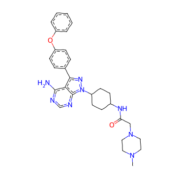 CN1CCN(CC(=O)NC2CCC(n3nc(-c4ccc(Oc5ccccc5)cc4)c4c(N)ncnc43)CC2)CC1